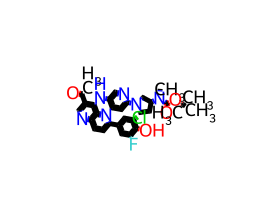 CC(=O)c1cnc2ccc(-c3cc(F)c(O)c(Cl)c3)nc2c1Nc1ccc(N2CCC(N(C)C(=O)OC(C)(C)C)C2)nc1